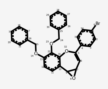 Brc1ccc(C2=CC3OC3c3ccc(OCc4ccccc4)c(OCc4ccccc4)c3O2)cc1